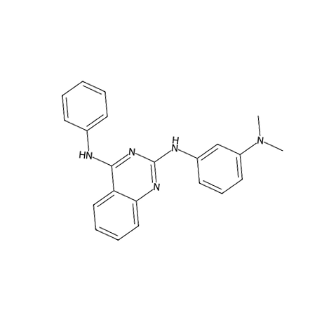 CN(C)c1cccc(Nc2nc(Nc3ccccc3)c3ccccc3n2)c1